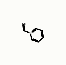 N=C[n+]1ccccc1